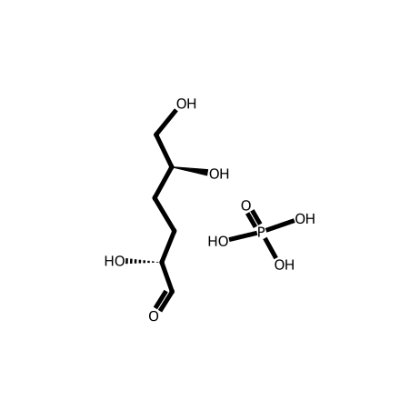 O=C[C@H](O)CC[C@H](O)CO.O=P(O)(O)O